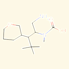 CN(C(=O)O)C(CN)C(C1CCCOC1)C(C)(C)C